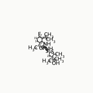 Cc1sc(SNC(=O)Nc2c(C(C)C)ccc(F)c2C(C)C)cc1C(C)(C)O